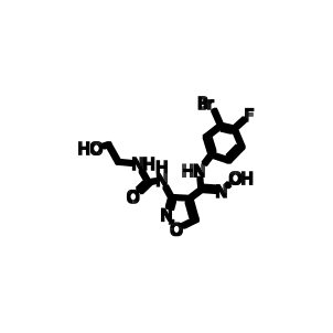 O=C(NCCO)Nc1nocc1/C(=N/O)Nc1ccc(F)c(Br)c1